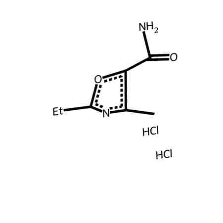 CCc1nc(C)c(C(N)=O)o1.Cl.Cl